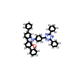 c1ccc(-c2ccc3c4ccc5c6ccccc6oc5c4n(-c4ccc(-c5nc(-c6ccccc6)nc(-c6ccccc6)n5)cc4)c3c2)cc1